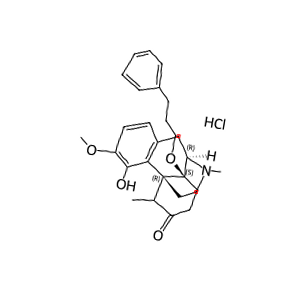 COc1ccc2c(c1O)[C@]13CCN(C)[C@H](C2)[C@]1(OCCCc1ccccc1)CCC(=O)C3C.Cl